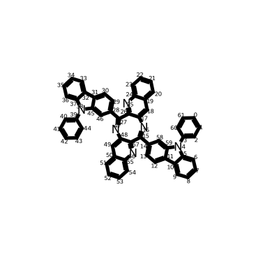 c1ccc(-n2c3ccccc3c3ccc(/C4=N/c5cc6ccccc6nc5/C(c5ccc6c7ccccc7n(-c7ccccc7)c6c5)=N\c5cc6ccccc6nc54)cc32)cc1